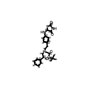 CC(C)(C)OC(=O)N(CCc1ccc(NC2SC(=O)NC2=O)cc1)C[C@@H](O)c1ccccc1